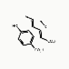 CC=CC=CC(=O)O.O=C(O)c1ccc(O)cc1.[CH3][K]